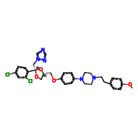 COc1ccc(CCN2CCN(c3ccc(OC[C@@H]4CO[C@@](Cn5cncn5)(c5ccc(Cl)cc5Cl)O4)cc3)CC2)cc1